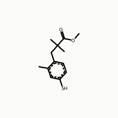 COC(=O)C(C)(C)Cc1ccc(S)cc1C